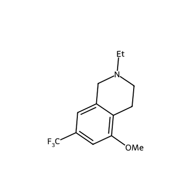 CCN1CCc2c(cc(C(F)(F)F)cc2OC)C1